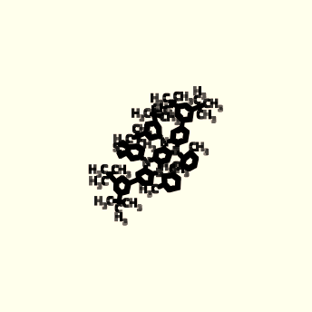 Cc1cccc(C)c1B1c2ccc(-c3cc(C(C)(C)C)cc(C(C)(C)C)c3)cc2N(c2cc(C(C)(C)C)cc(C(C)(C)C)c2)c2cc3c(cc21)B(c1c(C)cccc1C)c1ccc(-c2cc(C(C)(C)C)cc(C(C)(C)C)c2)cc1N3c1ccc2cscc2c1